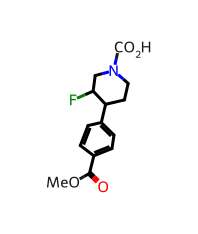 COC(=O)c1ccc(C2CCN(C(=O)O)CC2F)cc1